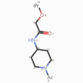 CC(=O)N1CCC(NC(=O)COC(C)C)CC1